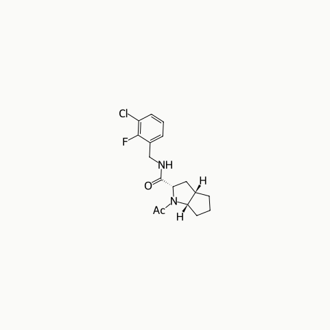 [CH2]C(=O)N1[C@H](C(=O)NCc2cccc(Cl)c2F)C[C@@H]2CCC[C@@H]21